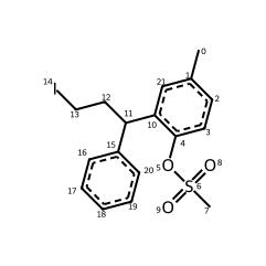 Cc1ccc(OS(C)(=O)=O)c(C(CCI)c2ccccc2)c1